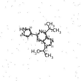 CC(C)c1nc(-c2cn[nH]c2)nc2c1ncn2C(C)C